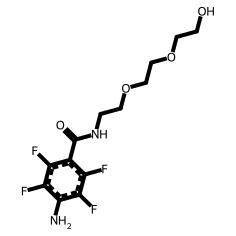 Nc1c(F)c(F)c(C(=O)NCCOCCOCCO)c(F)c1F